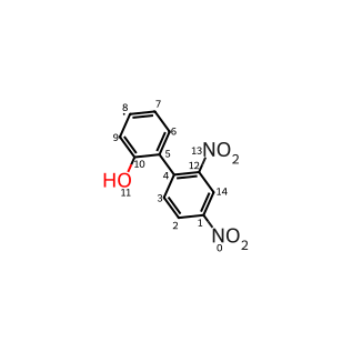 O=[N+]([O-])c1ccc(-c2cc[c]cc2O)c([N+](=O)[O-])c1